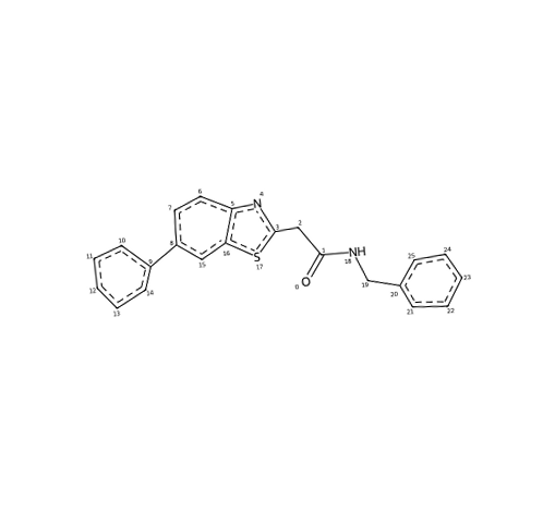 O=C(Cc1nc2ccc(-c3ccccc3)cc2s1)NCc1ccccc1